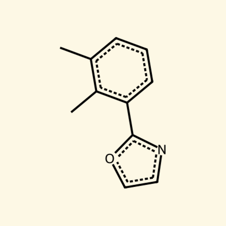 Cc1cccc(-c2ncco2)c1C